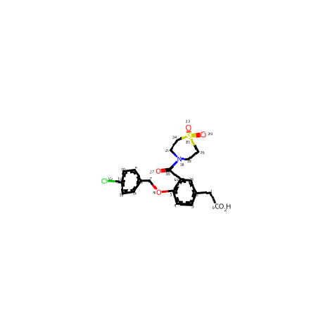 O=C(O)Cc1ccc(OCc2ccc(Cl)cc2)c(C(=O)N2CCS(=O)(=O)CC2)c1